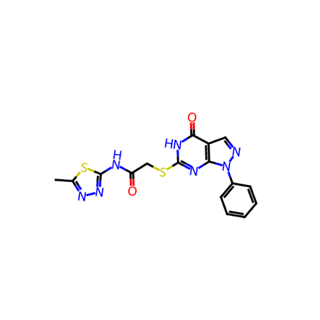 Cc1nnc(NC(=O)CSc2nc3c(cnn3-c3ccccc3)c(=O)[nH]2)s1